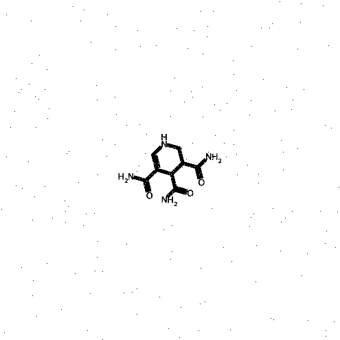 NC(=O)C1=CN[CH]C(C(N)=O)C1C(N)=O